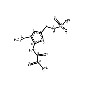 CCCS(=O)(=O)NCc1cc(C(=O)O)c(NC(=O)C(N)=O)s1